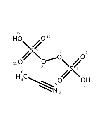 CC#N.O=S(=O)(O)OOS(=O)(=O)O